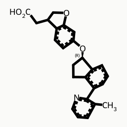 Cc1cccnc1-c1cccc2c1CC[C@H]2Oc1ccc2c(c1)OCC2CC(=O)O